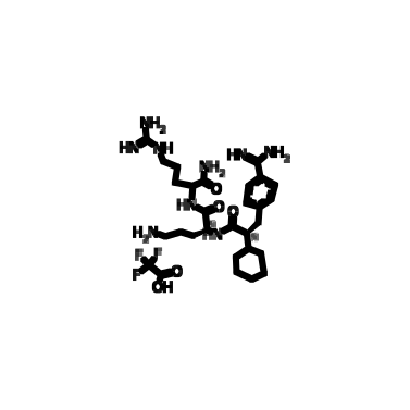 N=C(N)NCCCC(NC(=O)[C@H](CCCN)NC(=O)[C@@H](Cc1ccc(C(=N)N)cc1)C1CCCCC1)C(N)=O.O=C(O)C(F)(F)F